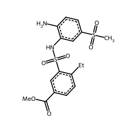 CCc1ccc(C(=O)OC)cc1S(=O)(=O)Nc1cc(S(C)(=O)=O)ccc1N